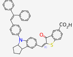 O=C(O)c1ccc2c(c1)C(=O)/C(=C\c1ccc3c(c1)C1CCCC1N3c1ccc(C=C(c3ccccc3)c3ccccc3)cc1)S2